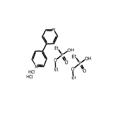 CCOP(=O)(O)CC.CCOP(=O)(O)CC.Cl.Cl.c1cc(-c2ccncc2)ccn1